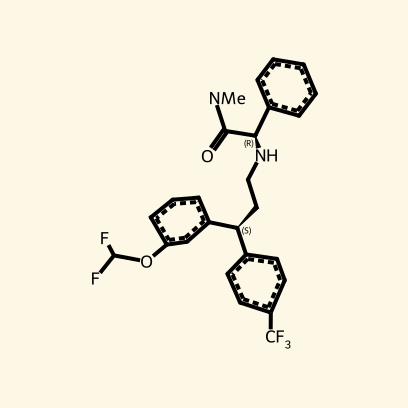 CNC(=O)[C@H](NCC[C@@H](c1ccc(C(F)(F)F)cc1)c1cccc(OC(F)F)c1)c1ccccc1